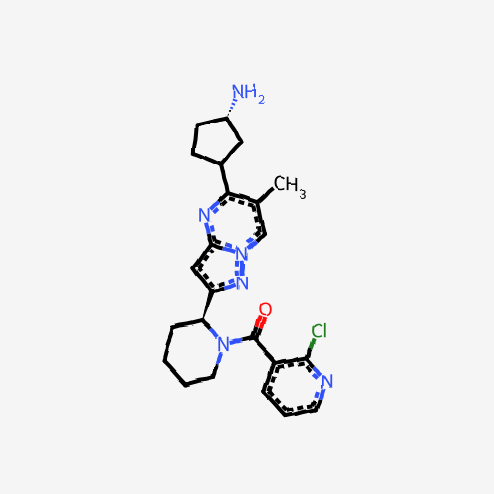 Cc1cn2nc([C@@H]3CCCCN3C(=O)c3cccnc3Cl)cc2nc1C1CC[C@H](N)C1